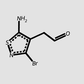 Nc1snc(Br)c1CC=O